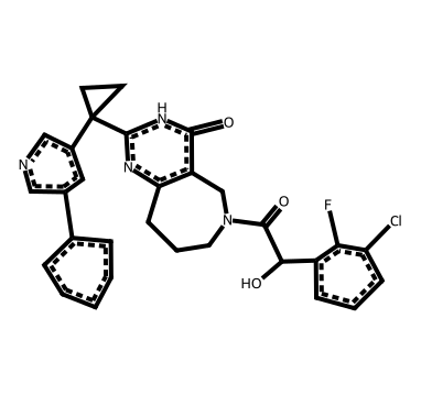 O=C(C(O)c1cccc(Cl)c1F)N1CCCc2nc(C3(c4cncc(-c5ccccc5)c4)CC3)[nH]c(=O)c2C1